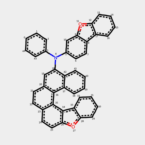 c1ccc(N(c2ccc3c(c2)oc2ccccc23)c2cc3ccc4ccc5oc6ccccc6c5c4c3c3ccccc23)cc1